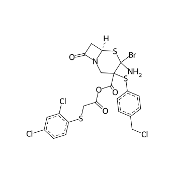 NC1(Br)S[C@@H]2CC(=O)N2CC1(Sc1ccc(CCl)cc1)C(=O)OC(=O)CSc1ccc(Cl)cc1Cl